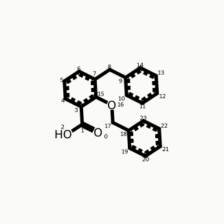 O=C(O)c1cccc(Cc2ccccc2)c1OCc1ccccc1